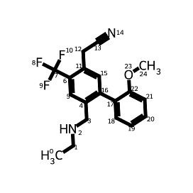 CCNCc1cc(C(F)(F)F)c(CC#N)cc1-c1ccccc1OC